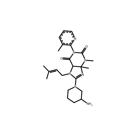 CC(C)=CCN1C(N2CCCC(N)C2)=NC2(C)C1C(=O)N(c1ncccc1C)C(=O)N2C